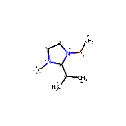 CSN1CCN(C)C1C(C)C